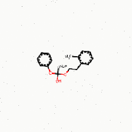 CCCCCCCCCC(O)(OCCc1ccccc1C)Oc1ccccc1